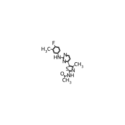 CC(=O)Nc1nc(C)c(-c2ccnc(Nc3ccc(F)c(C)c3)n2)s1